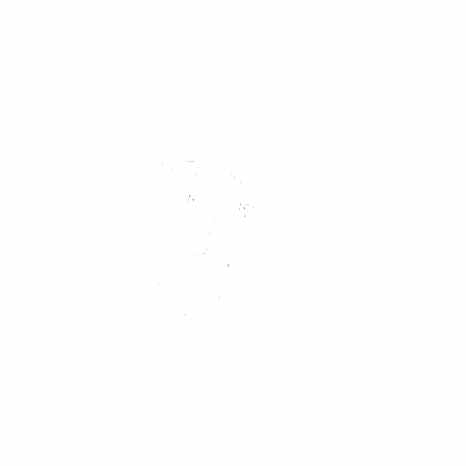 CS(=O)(=O)N=C(N)c1ccccc1